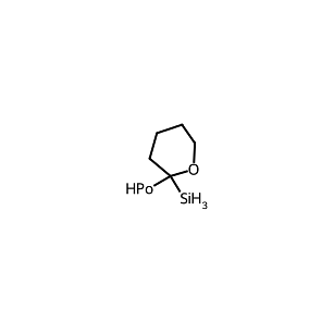 [SiH3][C]1([PoH])CCCCO1